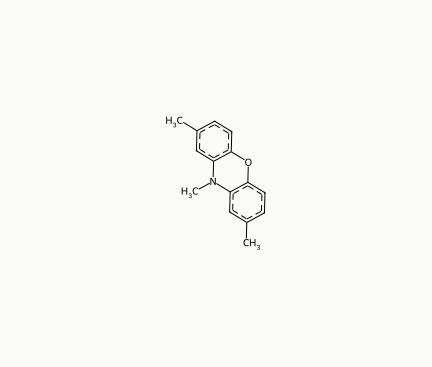 Cc1ccc2c(c1)N(C)c1cc(C)ccc1O2